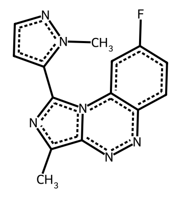 Cc1nc(-c2ccnn2C)n2c1nnc1ccc(F)cc12